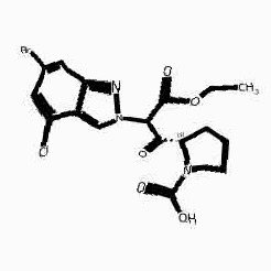 CCOC(=O)C(C(=O)[C@@H]1CCCN1C(=O)O)n1cc2c(Cl)cc(Br)cc2n1